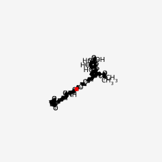 CC(C)C(=O)OCc1cc(CCCOCCOCCOCCNC(=O)CCCCCN2C(=O)C=CC2=O)ccc1O[C@@H]1O[C@H](C(=O)O)[C@@H](O)[C@H](O)[C@H]1O